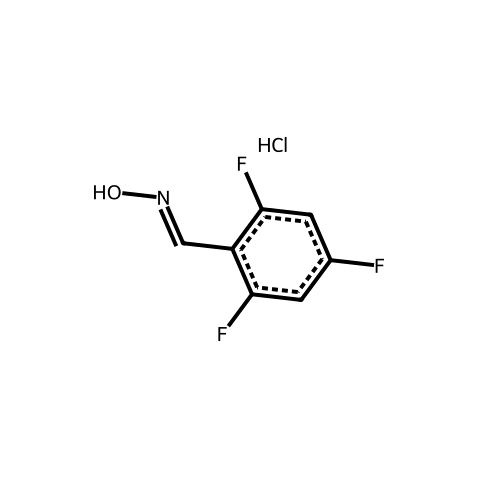 Cl.ON=Cc1c(F)cc(F)cc1F